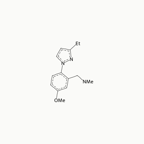 CCc1ccn(-c2ccc(OC)cc2CNC)n1